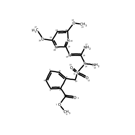 COC(=O)c1ccccc1CS(=O)(=O)N(N)C(N)=Nc1nc(OC)cc(OC)n1